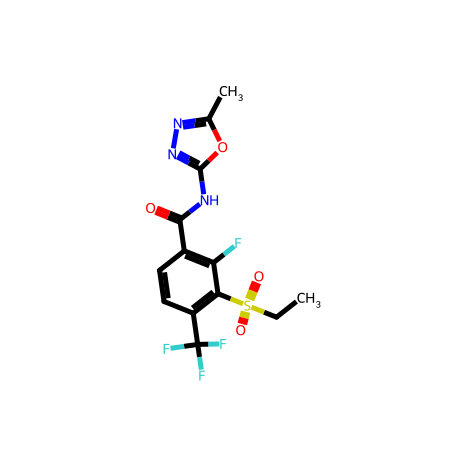 CCS(=O)(=O)c1c(C(F)(F)F)ccc(C(=O)Nc2nnc(C)o2)c1F